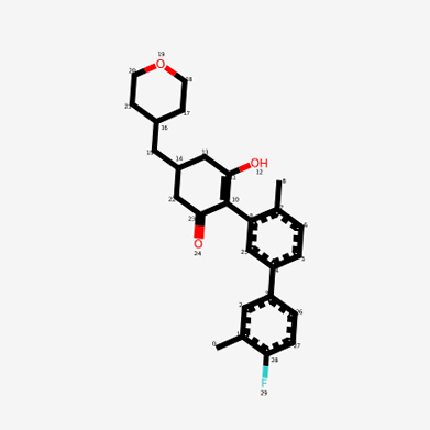 Cc1cc(-c2ccc(C)c(C3=C(O)CC(CC4CCOCC4)CC3=O)c2)ccc1F